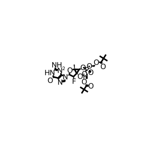 CC(C)(C)C(=O)OCOP(=O)(OCOC(=O)C(C)(C)C)OC1[C@@]2(C)O[C@@H](n3cnc4c(=O)[nH]c(N)nc43)[C@H](F)[C@@]12O